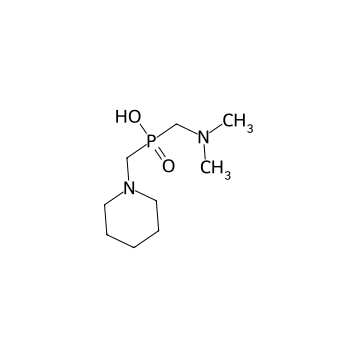 CN(C)CP(=O)(O)CN1CCCCC1